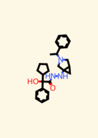 CC(c1ccccc1)N1CC2CC2(NNC(=O)C(O)(c2ccccc2)C2CCCC2)C1